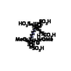 COCCNC(=O)CCC1(C)\C(=C/C=C/C=C/C=C/C2=[N+](CCCCCC(=O)O)c3ccc(S(=O)(=O)O)cc3C2(C)CCCS(=O)(=O)O)N(CCOC)c2ccc(S(=O)(=O)O)cc21